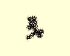 c1ccc(-c2ccc(-c3nc(-c4cccc(-n5c6ccccc6c6cc7c(cc65)C(c5ccccc5)(c5ccccc5)c5ccccc5-7)c4)nc(-n4c5ccccc5c5ccccc54)n3)cc2)cc1